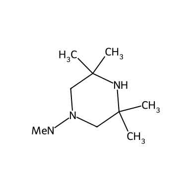 CNN1CC(C)(C)NC(C)(C)C1